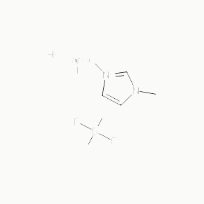 CCCC[n+]1ccn(C)c1.Cl.F[B-](F)(F)F.[AlH3]